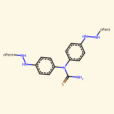 CCCCCNNc1ccc(N(C(N)=S)c2ccc(NNCCCCC)cc2)cc1